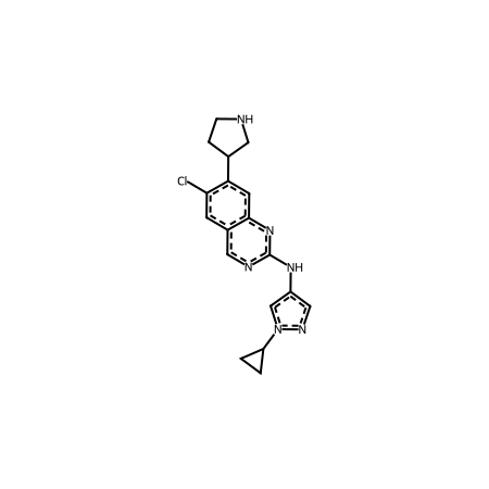 Clc1cc2cnc(Nc3cnn(C4CC4)c3)nc2cc1C1CCNC1